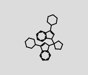 C1=C(C2CCCCC2)c2ccccc2C1C1(C2C=C(C3CCCCC3)c3ccccc32)CCCC1